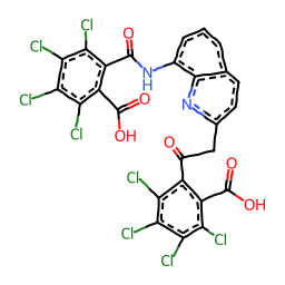 O=C(O)c1c(Cl)c(Cl)c(Cl)c(Cl)c1C(=O)Cc1ccc2cccc(NC(=O)c3c(Cl)c(Cl)c(Cl)c(Cl)c3C(=O)O)c2n1